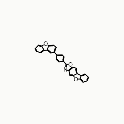 c1ccc2c(c1)oc1ccc(-c3ccc(-c4nc5cc6oc7ccccc7c6cc5o4)cc3)cc12